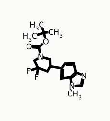 Cn1cnc2ccc(C3CN(C(=O)OC(C)(C)C)CC(F)(F)C3)cc21